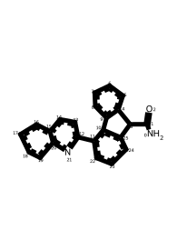 NC(=O)C1c2ccccc2-c2c(-c3ccc4ccccc4n3)cccc21